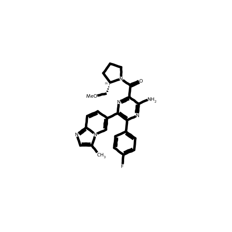 COC[C@@H]1CCCN1C(=O)c1nc(-c2ccc3ncc(C)n3c2)c(-c2ccc(F)cc2)nc1N